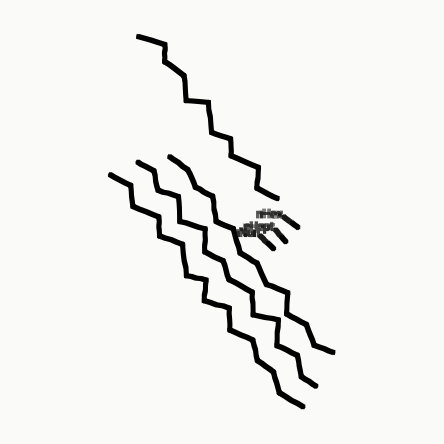 CCCCCCC.CCCCCCCC.CCCCCCCCCC.CCCCCCCCCCCC.CCCCCCCCCCCCCC.CCCCCCCCCCCCCCCC.CCCCCCCCCCCCCCCC